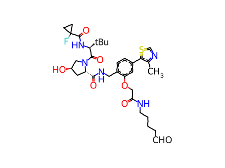 Cc1ncsc1-c1ccc(CNC(=O)[C@@H]2C[C@@H](O)CN2C(=O)[C@@H](NC(=O)C2(F)CC2)C(C)(C)C)c(OCC(=O)NCCCCC=O)c1